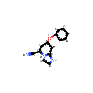 N#Cc1cc(Oc2ccccc2)cc2nccn12